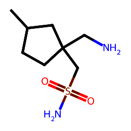 CC1CCC(CN)(CS(N)(=O)=O)C1